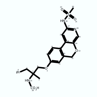 CC(C)CC(C)(COc1ccc2c(c1)COc1cnc(NS(C)(=O)=O)cc1-2)NC(=O)O